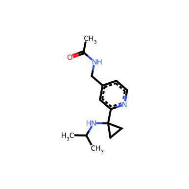 CC(=O)NCc1ccnc(C2(NC(C)C)CC2)c1